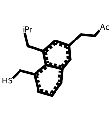 CC(=O)CCc1cc(CC(C)C)c2c(CS)cccc2c1